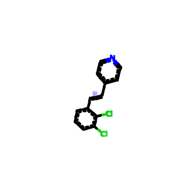 Clc1cccc(/C=C/c2ccncc2)c1Cl